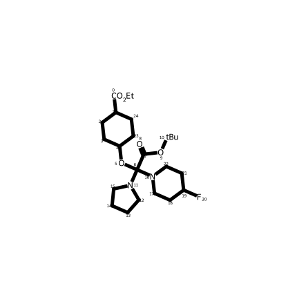 CCOC(=O)C1CCC(OC(C(=O)OC(C)(C)C)(N2CCCC2)N2CCC(F)CC2)CC1